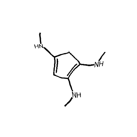 CNC1=CC(NC)=C(NC)[CH]1